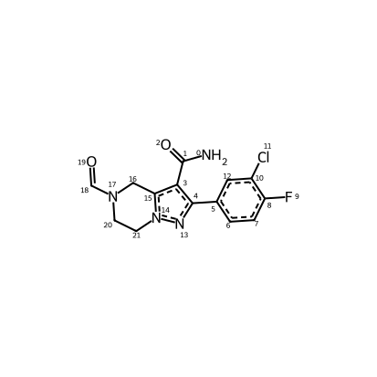 NC(=O)c1c(-c2ccc(F)c(Cl)c2)nn2c1CN(C=O)CC2